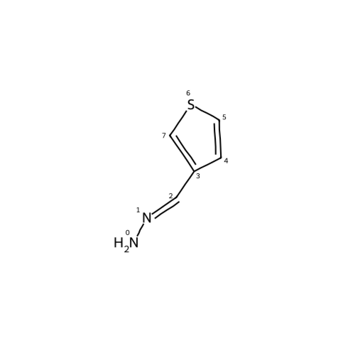 N/N=C/c1ccsc1